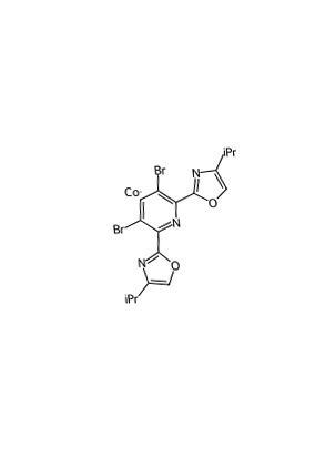 CC(C)c1coc(-c2nc(-c3nc(C(C)C)co3)c(Br)cc2Br)n1.[Co]